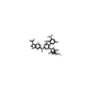 CNc1cc(F)cc2c1[nH]c1nc(Nc3cnc4c(c3)nnn4C(C)C)nc(N3C[C@H]4[C@@H](C)[C@@H]3C[C@H]4N)c12